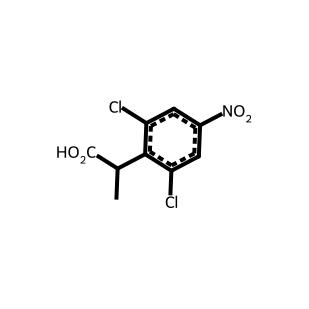 CC(C(=O)O)c1c(Cl)cc([N+](=O)[O-])cc1Cl